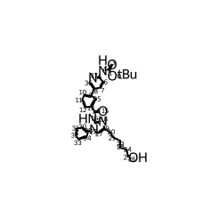 CC(C)(C)OC(=O)Nc1ccc(-c2cccc(C(=O)Nc3nc(CCCCCCO)cn3-c3ccccc3)c2)cn1